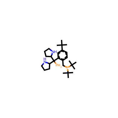 CC(C)(C)c1ccc(CP(C(C)(C)C)C(C)(C)C)c(C(P)(C2CCCN2)C2CCCN2)c1